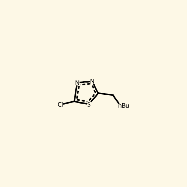 CCCCCc1nnc(Cl)s1